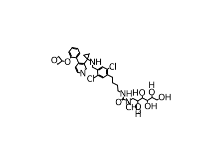 CN(CC(O)C(O)C(O)C(O)CO)C(=O)NCCCCc1cc(Cl)c(CNC2(c3cnccc3-c3ccccc3OC3COC3)CC2)cc1Cl